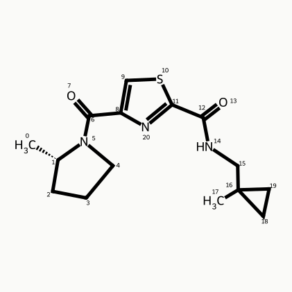 C[C@H]1CCCN1C(=O)c1csc(C(=O)NCC2(C)CC2)n1